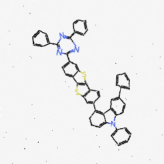 C1=c2c(c3cc(-c4ccccc4)ccc3n2-c2ccccc2)=C(c2ccc3c(c2)sc2c4ccc(-c5nc(-c6ccccc6)nc(-c6ccccc6)n5)cc4sc32)CC1